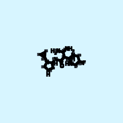 NC(N)C(C(=O)NC1CNCN1C1CC1)C1NCC(F)CN1